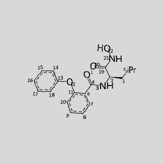 CC(C)C[C@@H](NC(=O)c1ccccc1Oc1ccccc1)C(=O)NO